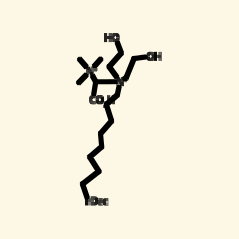 CCCCCCCCCCCCCCCCCC[N+](CCO)(CCO)C(C(=O)O)[N+](C)(C)C